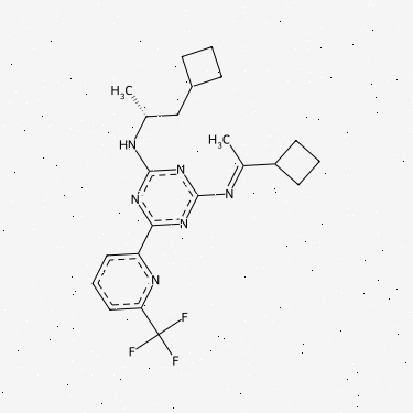 C/C(=N\c1nc(N[C@H](C)CC2CCC2)nc(-c2cccc(C(F)(F)F)n2)n1)C1CCC1